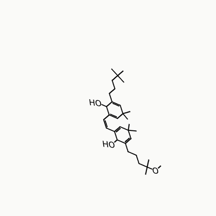 COC(C)(C)CCCC1=CC(C)(C)C=C(/C=C\C2=CC(C)(C)C=C(CCCC(C)(C)C)C2O)C1O